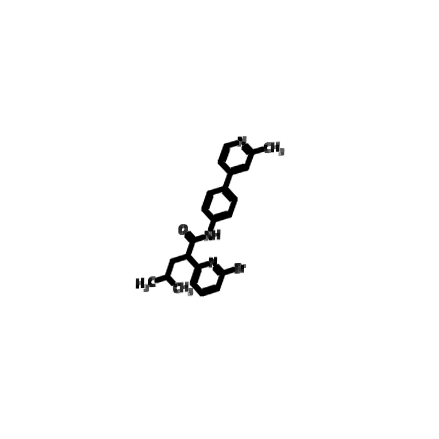 Cc1cc(-c2ccc(NC(=O)C(CC(C)C)c3cccc(Br)n3)cc2)ccn1